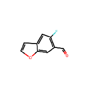 O=Cc1cc2occc2cc1F